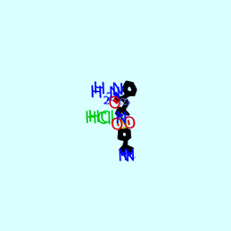 Cl.Cl.Cn1cc(-c2ccc(S(=O)(=O)n3ccc(/C=C(\C(N)=O)c4ccccc4N)c3)cc2)cn1